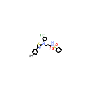 CC(C)c1ccc(-c2csc(N(CCC(=O)NS(=O)(=O)c3ccccc3)C3CCCC3)n2)cc1.Cl